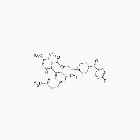 Cc1cc(C2=C(C(=O)OCCN3CCC(C(=O)c4ccc(F)cc4)CC3)C(C)C(C(=O)O)=CN2)c2cc(C)ccc2c1